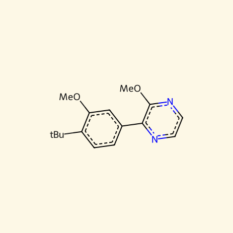 COc1cc(-c2nccnc2OC)ccc1C(C)(C)C